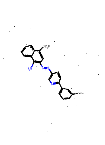 COc1cccc(-c2ccc(/N=N/c3cc(S(=O)(=O)O)c4ccccc4c3N)cn2)c1